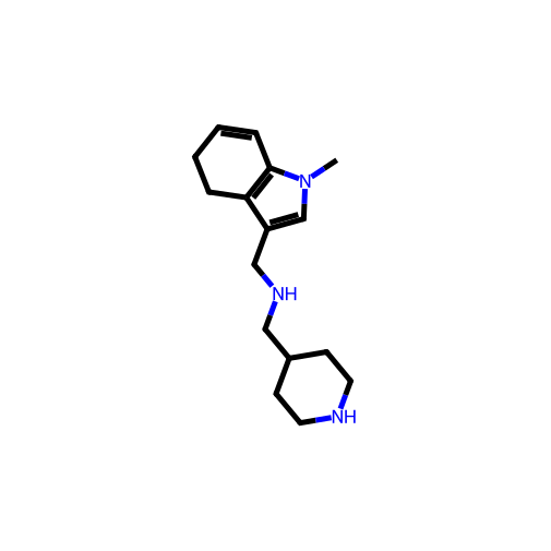 Cn1cc(CNCC2CCNCC2)c2c1C=CCC2